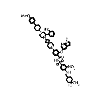 COc1ccc(C2CCC(N3CCN(C4CC5(CCN(c6ccc(C(=O)NS(=O)(=O)c7ccc(NCC8CCC(C)(O)CC8)c([N+](=O)[O-])c7)c(Oc7cnc8[nH]ccc8c7)c6)CC5)C4)C(c4ccccc4C(C)C)C3)CC2)cc1